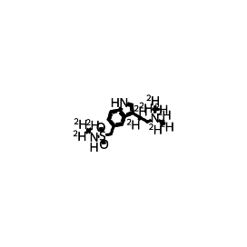 [2H]C([2H])([2H])NS(=O)(=O)Cc1ccc2[nH]cc(C([2H])([2H])CN(C([2H])([2H])[2H])C([2H])([2H])[2H])c2c1